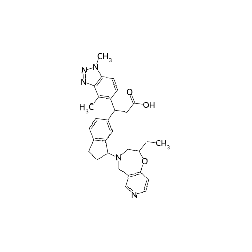 CCC1CN(C2CCc3ccc(C(CC(=O)O)c4ccc5c(nnn5C)c4C)cc32)Cc2cnccc2O1